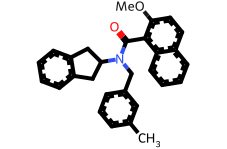 COc1ccc2ccccc2c1C(=O)N(Cc1cccc(C)c1)C1Cc2ccccc2C1